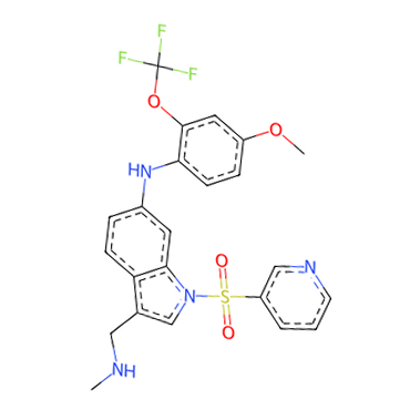 CNCc1cn(S(=O)(=O)c2cccnc2)c2cc(Nc3ccc(OC)cc3OC(F)(F)F)ccc12